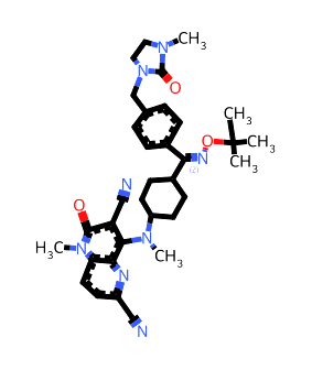 CN1CCN(Cc2ccc(/C(=N\OC(C)(C)C)C3CCC(N(C)c4c(C#N)c(=O)n(C)c5ccc(C#N)nc45)CC3)cc2)C1=O